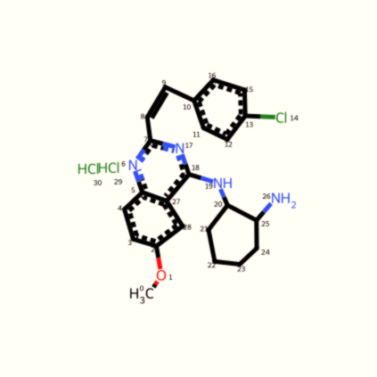 COc1ccc2nc(/C=C\c3ccc(Cl)cc3)nc(NC3CCCCC3N)c2c1.Cl.Cl